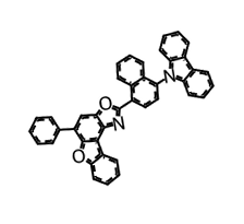 c1ccc(-c2cc3oc(-c4ccc(-n5c6ccccc6c6ccccc65)c5ccccc45)nc3c3c2oc2ccccc23)cc1